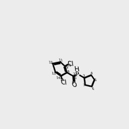 O=C(PC1CCCC1)c1c(Cl)cccc1Cl